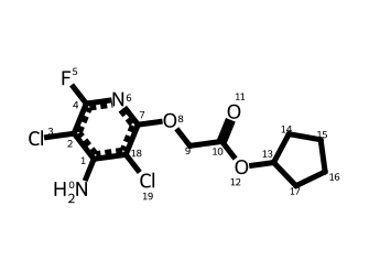 Nc1c(Cl)c(F)nc(OCC(=O)OC2CCCC2)c1Cl